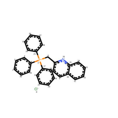 [Cl-].c1ccc([P+](Cc2ccc3ccccc3n2)(c2ccccc2)c2ccccc2)cc1